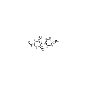 C=Nc1cc(Cl)c(-c2ccc(F)cc2)c(Cl)c1